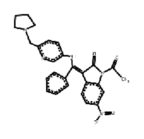 CC(=O)N1C(=O)/C(=C(\Nc2ccc(CN3CCCC3)nc2)c2ccccc2)c2ccc([N+](=O)[O-])cc21